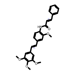 COc1cc(/C=C/c2cc(OC)c(OC)c(OC)c2)ccc1NC(=O)/C=C/c1ccccc1